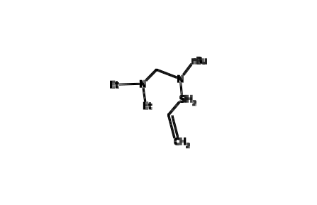 C=C[SiH2]N(CCCC)CN(CC)CC